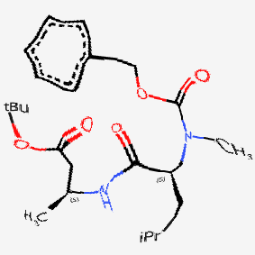 CC(C)C[C@@H](C(=O)N[C@@H](C)C(=O)OC(C)(C)C)N(C)C(=O)OCc1ccccc1